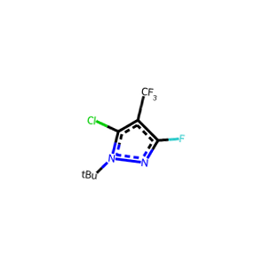 CC(C)(C)n1nc(F)c(C(F)(F)F)c1Cl